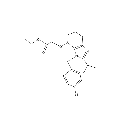 CCOC(=O)COC1CCCc2nc(C(C)C)n(Cc3ccc(Cl)cc3)c21